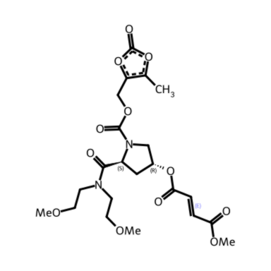 COCCN(CCOC)C(=O)[C@@H]1C[C@@H](OC(=O)/C=C/C(=O)OC)CN1C(=O)OCc1oc(=O)oc1C